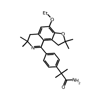 CCOc1cc2c(c3c1OC(C)(C)C3)C(c1ccc(C(C)(C)C(N)=O)cc1)=NC(C)(C)C2